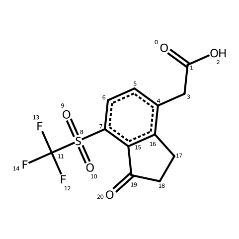 O=C(O)Cc1ccc(S(=O)(=O)C(F)(F)F)c2c1CCC2=O